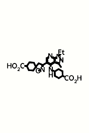 CCn1nc(C)c2c(NC3CCC(C(=O)O)CC3)c(C3=NOC4(CCC(C(=O)O)CC4)C3)cnc21